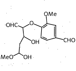 COc1cc(C=O)ccc1OC([C]=O)C(O)CC(O)OC